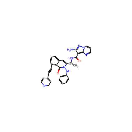 C[C@H](NC(=O)c1c(N)nn2cccnc12)c1cc2cccc(C#Cc3ccncc3)c2c(=O)n1Nc1ccccc1